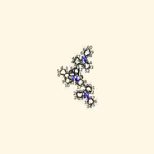 CC12c3ccccc3-c3cccc(c31)N(c1ccc(-c3cccc4c3c3ccccc3n4-c3ccccc3)cc1)c1ccc(-c3cccc4c3c3ccccc3n4-c3ccccc3)cc12